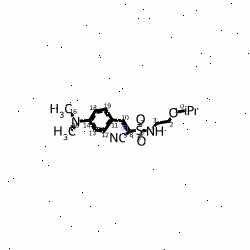 CC(C)OCCNS(=O)(=O)/C(C#N)=C/c1ccc(N(C)C)cc1